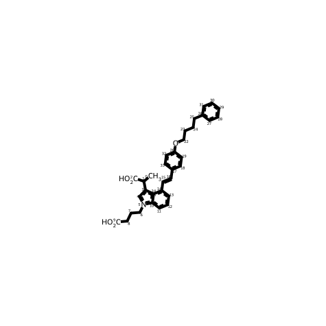 CC(C(=O)O)c1cn(CCCC(=O)O)c2cccc(C=Cc3ccc(OCCCCc4ccccc4)cc3)c12